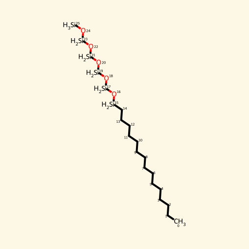 CCCCCCCCCCCCCCC[SiH2]O[SiH2]O[SiH2]O[SiH2]O[SiH2]O[SiH3]